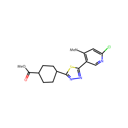 CNc1cc(Cl)ncc1-c1nnc(C2CCC(C(=O)OC)CC2)s1